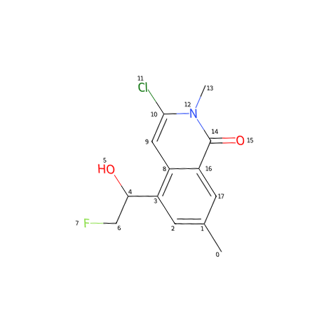 Cc1cc(C(O)CF)c2cc(Cl)n(C)c(=O)c2c1